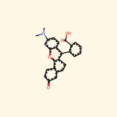 CN(C)c1ccc2c(-c3ccccc3C(=O)O)c3ccc4cc(=O)ccc4c3oc2c1